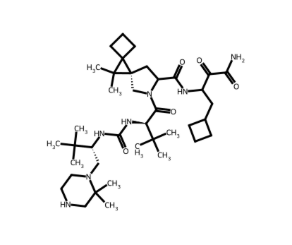 CC(C)(C)[C@@H](CN1CCNCC1(C)C)NC(=O)N[C@@H](C(=O)N1C[C@]2(CC1C(=O)NC(CC1CCC1)C(=O)C(N)=O)C(C)(C)C21CCC1)C(C)(C)C